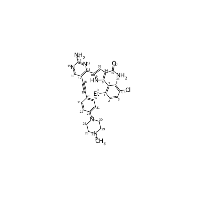 CCc1ccc(Cl)cc1-c1[nH]c(-c2nc(N)ncc2C#Cc2ccc(N3CCN(C)CC3)cc2)cc1C(N)=O